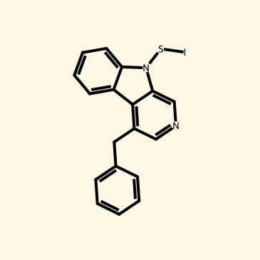 ISn1c2ccccc2c2c(Cc3ccccc3)cncc21